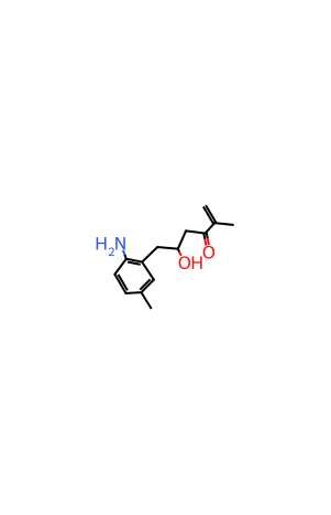 C=C(C)C(=O)CC(O)Cc1cc(C)ccc1N